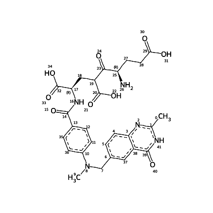 Cc1nc2ccc(CN(C)c3ccc(C(=O)N[C@H](CC(C(=O)O)C(=O)[C@H](N)CCC(=O)O)C(=O)O)cc3)cc2c(=O)[nH]1